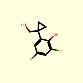 OCC1(c2cc(F)cc(Br)c2O)CC1